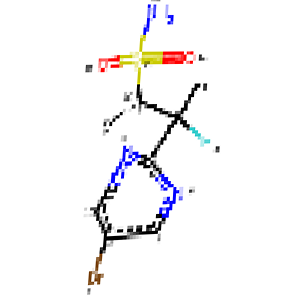 C[C@@H](C(C)(F)c1ncc(Br)cn1)S(N)(=O)=O